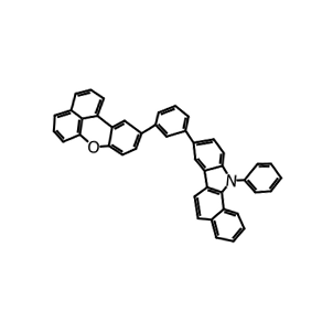 c1ccc(-n2c3ccc(-c4cccc(-c5ccc6c(c5)-c5cccc7cccc(c57)O6)c4)cc3c3ccc4ccccc4c32)cc1